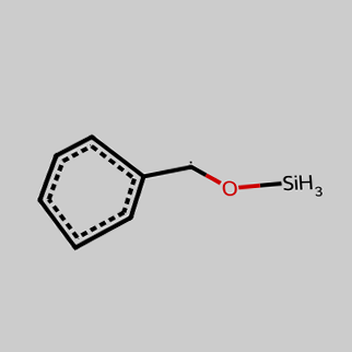 [SiH3]O[CH]c1ccccc1